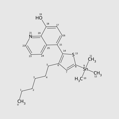 CCCCCCc1c[c]([Sn]([CH3])([CH3])[CH3])sc1-c1ccc(O)c2ncccc12